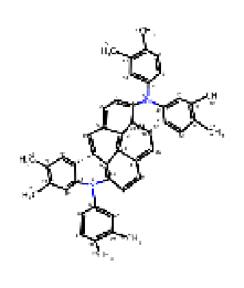 Cc1ccc(N(C2=CC=c3ccc4c(N(c5ccc(C)c(C)c5)c5ccc(C)c(C)c5)ccc5c4c3C2(C)CC=5)c2ccc(C)c(C)c2)cc1C